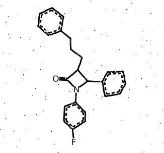 O=C1C(CCCc2ccccc2)C(c2[c]cccc2)N1c1ccc(F)cc1